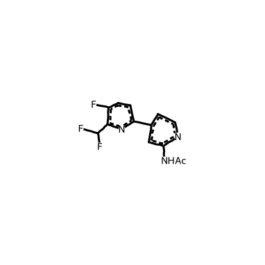 CC(=O)Nc1cc(-c2ccc(F)c(C(F)F)n2)ccn1